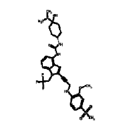 COc1cc(S(C)(=O)=O)ccc1NCC#Cc1cc2c(NC(=O)N[C@H]3CC[C@@](O)(N(C)C)CC3)cccc2n1CC(F)(F)F